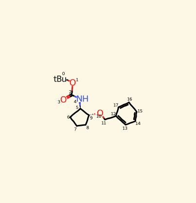 CC(C)(C)OC(=O)N[C@@H]1CCC[C@H]1OCc1ccccc1